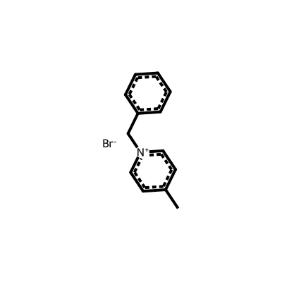 Cc1cc[n+](Cc2ccccc2)cc1.[Br-]